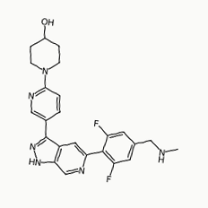 CNCc1cc(F)c(-c2cc3c(-c4ccc(N5CCC(O)CC5)nc4)n[nH]c3cn2)c(F)c1